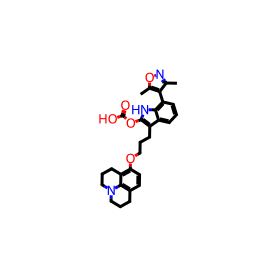 Cc1noc(C)c1-c1cccc2c(CCCOc3ccc4c5c3CCCN5CCC4)c(OC(=O)O)[nH]c12